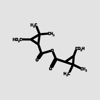 CC1(C)C(C(=O)O)C1C(=O)OC(=O)C1C(C(=O)O)C1(C)C